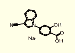 N#Cc1cn(-c2ccc(C(=O)O)c(O)c2)c2ccccc12.[Na]